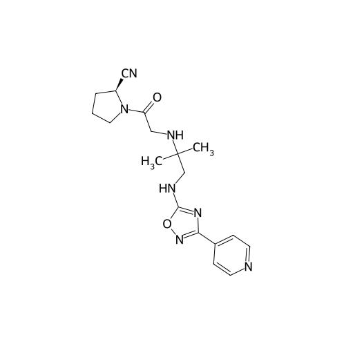 CC(C)(CNc1nc(-c2ccncc2)no1)NCC(=O)N1CCC[C@H]1C#N